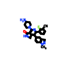 Cn1ncc2cc(-c3c(-c4cccc(C#N)c4F)nc(N4CCC(N)CC4)c4c3CNC4=O)ccc21